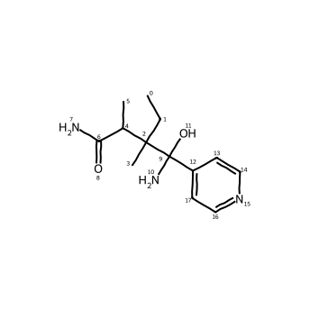 CCC(C)(C(C)C(N)=O)C(N)(O)c1ccncc1